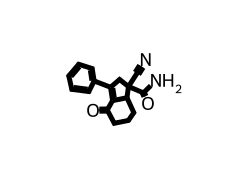 N#CC1(C(N)=O)CC(c2ccccc2)=C2C(=O)CCCC21